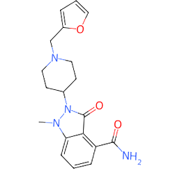 Cn1c2cccc(C(N)=O)c2c(=O)n1C1CCN(Cc2ccco2)CC1